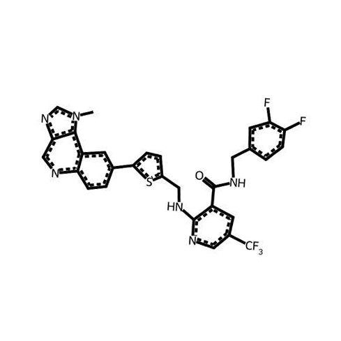 Cn1cnc2cnc3ccc(-c4ccc(CNc5ncc(C(F)(F)F)cc5C(=O)NCc5ccc(F)c(F)c5)s4)cc3c21